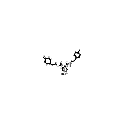 Cc1ccc(CCNC(=O)[C@H]2CNC[C@@H]2C(=O)NCCc2ccc(C)cc2)cc1.Cl